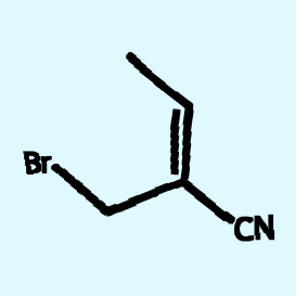 CC=C(C#N)CBr